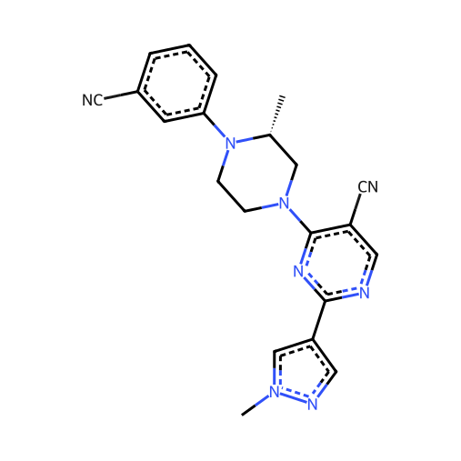 C[C@@H]1CN(c2nc(-c3cnn(C)c3)ncc2C#N)CCN1c1cccc(C#N)c1